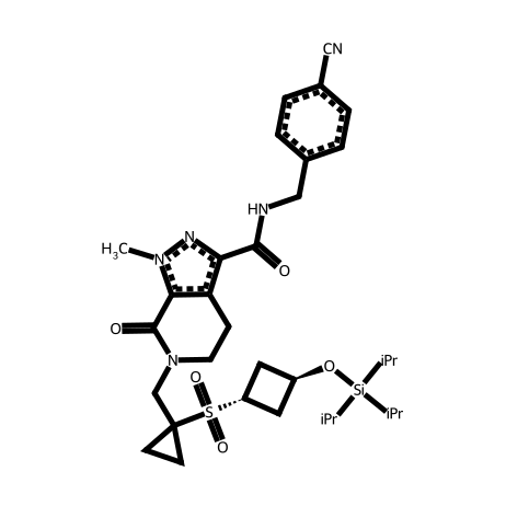 CC(C)[Si](O[C@H]1C[C@H](S(=O)(=O)C2(CN3CCc4c(C(=O)NCc5ccc(C#N)cc5)nn(C)c4C3=O)CC2)C1)(C(C)C)C(C)C